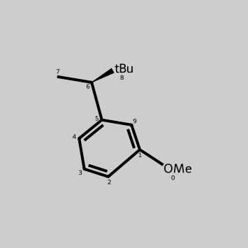 COc1cccc([C@@H](C)C(C)(C)C)c1